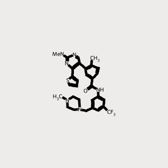 CNc1ncc(-c2cc(C(=O)Nc3cc(CN4CCN(C)CC4)cc(C(F)(F)F)c3)ccc2C)c(-c2cccs2)n1